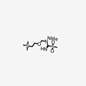 CNN(COCC[Si](C)(C)C)C(=N)S(C)(=O)=O